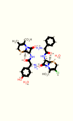 CC1=C(C(=O)O)N2C(=O)[C@@H](NC(=O)[C@H](N)c3ccc(O)cc3)[C@H]2SC1.N[C@@H](C(=O)N[C@@H]1C(=O)N2C(C(=O)O)=C(Cl)CS[C@H]12)c1ccccc1.O.O